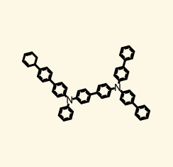 C1=CCC(c2ccc(-c3ccc(N(c4ccccc4)c4ccc(-c5ccc(N(c6ccc(-c7ccccc7)cc6)c6ccc(-c7ccccc7)cc6)cc5)cc4)cc3)cc2)C=C1